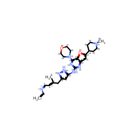 C=C/N=C\C=C(/C)Cc1cc(Nc2nc(N3CCOCC3)c3oc(C4CCN(C)CC4)cc3n2)[nH]n1